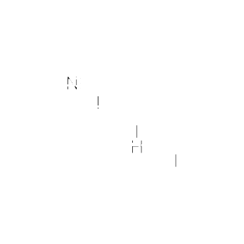 I[IH]I.[N]